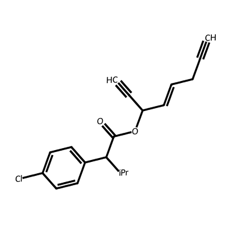 C#CC/C=C/C(C#C)OC(=O)C(c1ccc(Cl)cc1)C(C)C